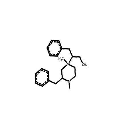 CCC(Cc1ccccc1)[N+]1(C)CCN(F)C(Cc2ccccc2)C1